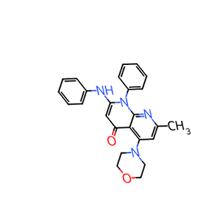 Cc1cc(N2CCOCC2)c2c(=O)cc(Nc3ccccc3)n(-c3ccccc3)c2n1